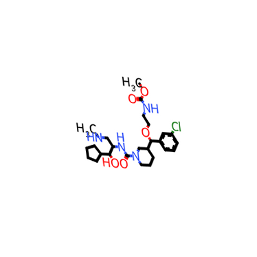 CNCC(NC(=O)N1CCCC(C(OCCNC(=O)OC)c2cccc(Cl)c2)C1)C(O)C1CCCC1